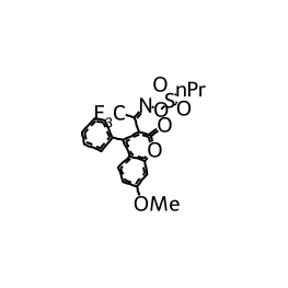 CCCS(=O)(=O)O/N=C(\c1c(-c2ccccc2)c2ccc(OC)cc2oc1=O)C(F)(F)F